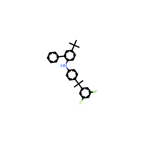 CC(C)(C)c1ccc(Nc2ccc(C(C)(C)c3cc(F)cc(F)c3)cc2)c(-c2ccccc2)c1